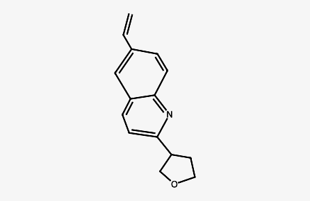 C=Cc1ccc2nc(C3CCOC3)ccc2c1